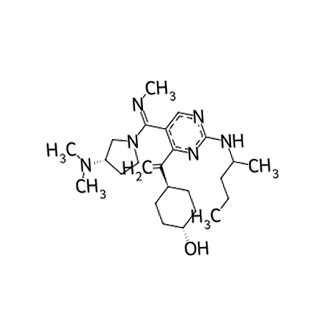 C=C(c1nc(NC(C)CCC)ncc1/C(=N\C)N1CC[C@H](N(C)C)C1)[C@H]1CC[C@H](O)CC1